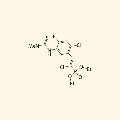 CCOP(=O)(OCC)C(Cl)=Cc1cc(NC(=S)NC)c(F)cc1Cl